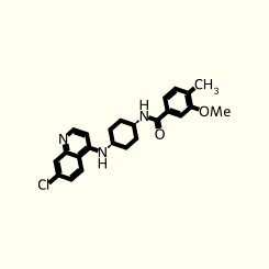 COc1cc(C(=O)N[C@H]2CC[C@@H](Nc3ccnc4cc(Cl)ccc34)CC2)ccc1C